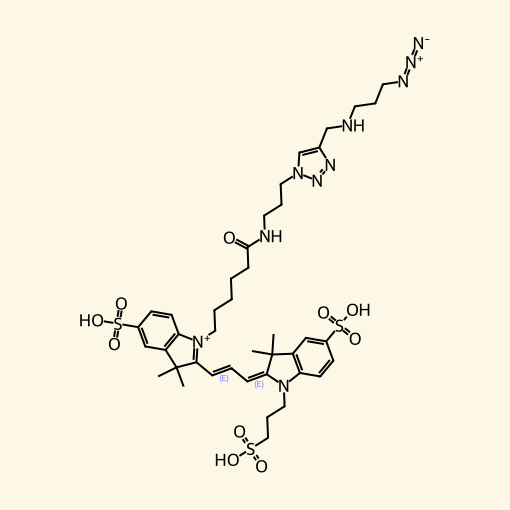 CC1(C)C(/C=C/C=C2/N(CCCS(=O)(=O)O)c3ccc(S(=O)(=O)O)cc3C2(C)C)=[N+](CCCCCC(=O)NCCCn2cc(CNCCCN=[N+]=[N-])nn2)c2ccc(S(=O)(=O)O)cc21